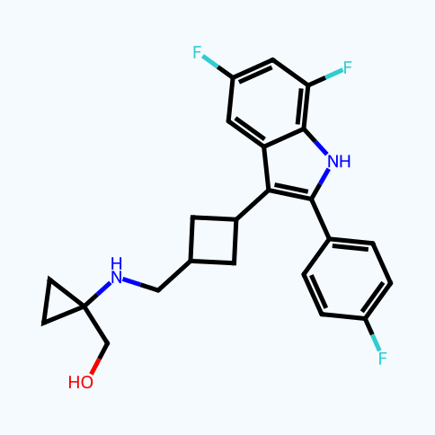 OCC1(NCC2CC(c3c(-c4ccc(F)cc4)[nH]c4c(F)cc(F)cc34)C2)CC1